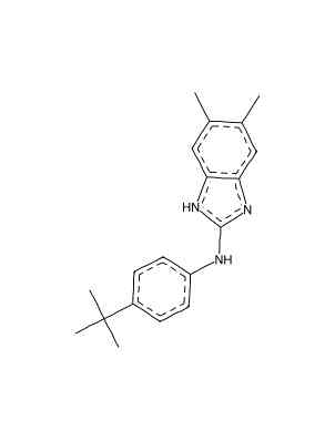 Cc1cc2nc(Nc3ccc(C(C)(C)C)cc3)[nH]c2cc1C